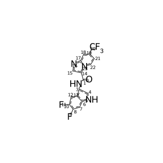 O=C(Nc1c[nH]c2cc(F)c(F)cc12)c1cnc2cc(C(F)(F)F)ccn12